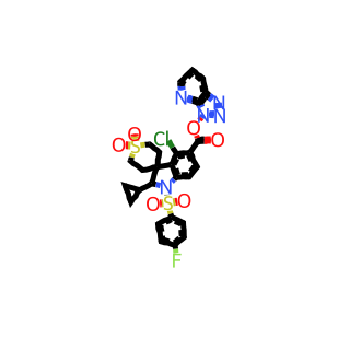 O=C(On1nnc2cccnc21)c1ccc2c(c1Cl)C1(CCS(=O)(=O)CC1)C(C1CC1)N2S(=O)(=O)c1ccc(F)cc1